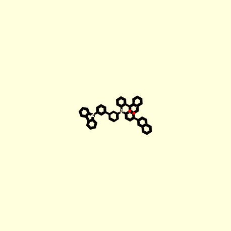 C1=CC(c2cccc(-n3c4ccccc4c4ccccc43)c2)CC(N(c2ccc(-c3ccc4ccccc4c3)cc2)c2ccccc2-c2cccc3ccccc23)=C1